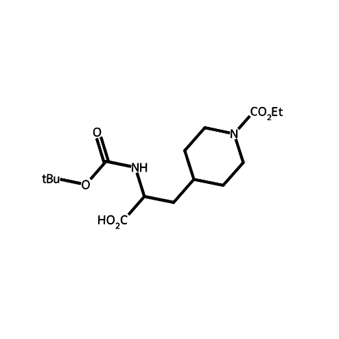 CCOC(=O)N1CCC(CC(NC(=O)OC(C)(C)C)C(=O)O)CC1